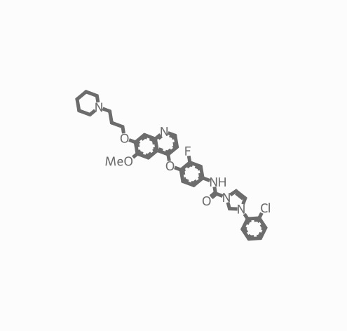 COc1cc2c(Oc3ccc(NC(=O)N4C=CN(c5ccccc5Cl)C4)cc3F)ccnc2cc1OCCCN1CCCCC1